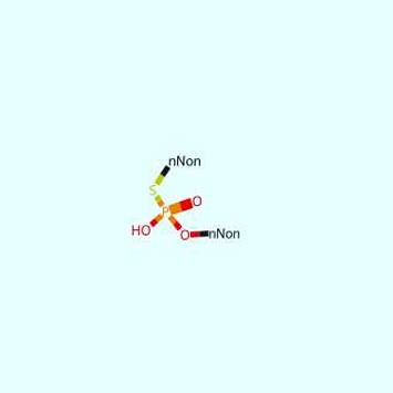 CCCCCCCCCOP(=O)(O)SCCCCCCCCC